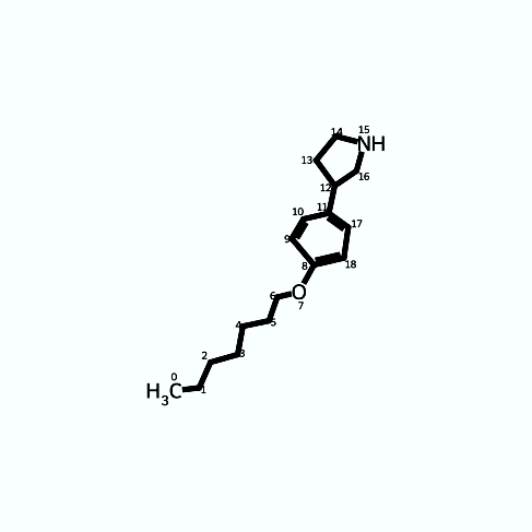 CCCCCCCOc1ccc(C2CCNC2)cc1